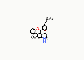 COc1cccc2c1-c1ccc3c(c1C(c1cccc(CCSC)c1)O2)C(C)=CC(C)(C)N3